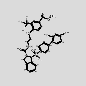 COC(=O)c1ccc(OCCNC(=O)[C@@H]2Cc3ccccc3N2S(=O)(=O)c2ccc(-c3ccc(F)cc3F)cc2)c(C(F)(F)F)c1